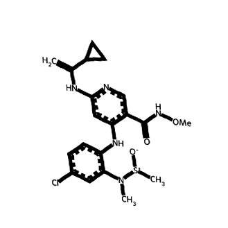 C=C(Nc1cc(Nc2ccc(Cl)cc2N(C)[S+](C)[O-])c(C(=O)NOC)cn1)C1CC1